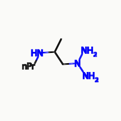 CCCNC(C)CN(N)N